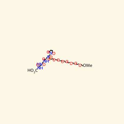 COCCOCCOCCOCCOCCOCCOCCOCCS(=O)(=O)N(CCC(=O)NCC(=O)NCC(=O)NCC(=O)O)CCN1C(=O)C=CC1=O